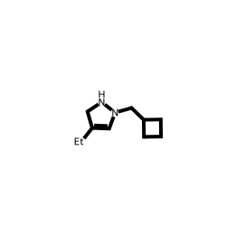 CCC1=CN(CC2CCC2)NC1